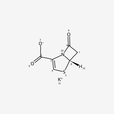 O=C([O-])C1=CS[C@H]2CC(=O)N12.[K+]